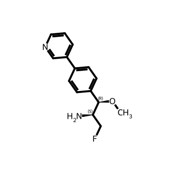 CO[C@H](c1ccc(-c2cccnc2)cc1)[C@H](N)CF